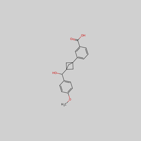 COc1ccc(C(O)C23CC(c4cccc(C(=O)O)c4)(C2)C3)cc1